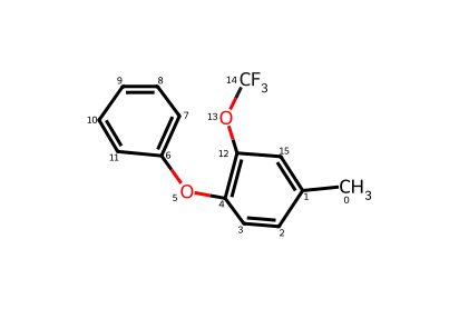 Cc1ccc(Oc2ccccc2)c(OC(F)(F)F)c1